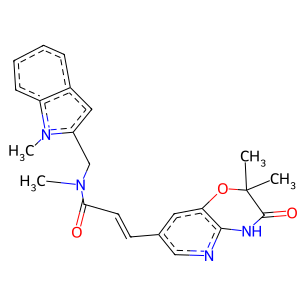 CN(Cc1cc2ccccc2n1C)C(=O)C=Cc1cnc2c(c1)OC(C)(C)C(=O)N2